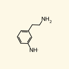 [NH]c1cccc(CCN)c1